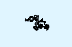 CC(=O)N1CCN(C(=O)CN[C@H](C(=O)N2CC(c3cc(F)ccc3F)=C[C@H]2c2ccccc2)C2CC2)CC1